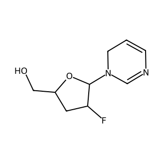 OCC1CC(F)C(N2C=NC=CC2)O1